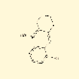 O/N=C1\CCCC\C1=C\c1ccccc1Cl